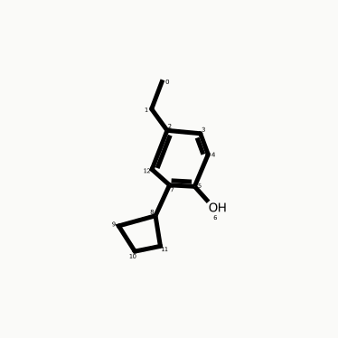 CCc1ccc(O)c(C2CCC2)c1